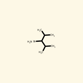 CC(C)C(Br)C(C)C.N